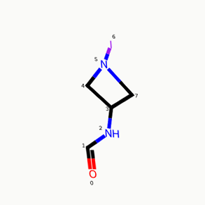 O=CNC1CN(I)C1